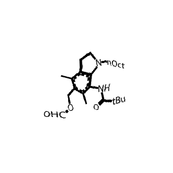 CCCCCCCCN1CCc2c(C)c(COC=O)c(C)c(NC(=O)C(C)(C)C)c21